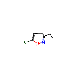 CCC1=NOC(Cl)=CC1